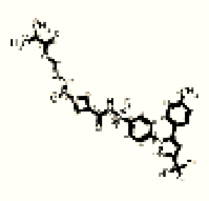 Cc1ccc(-c2cc(C(F)(F)F)nn2-c2ccc(S(=O)(=O)NC(=O)C3CN([N+]([O-])=NOCOC(=O)C(C)C)C3)cc2)cc1